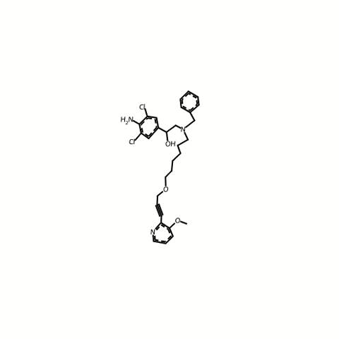 COc1cccnc1C#CCOCCCCCCN(Cc1ccccc1)CC(O)c1cc(Cl)c(N)c(Cl)c1